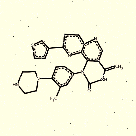 C=C1NC(=O)N(c2ccc(N3CCNCC3)c(C(F)(F)F)c2)c2c1cnc1ccc(-c3ccsc3)nc21